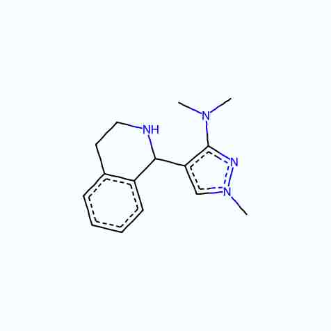 CN(C)c1nn(C)cc1C1NCCc2ccccc21